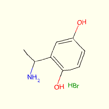 Br.CC(N)c1cc(O)ccc1O